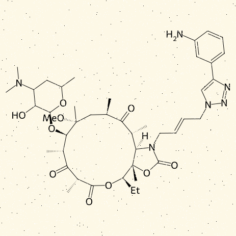 CC[C@H]1OC(=O)[C@H](C)C(=O)[C@H](C)[C@@H](O[C@@H]2OC(C)CC(N(C)C)C2O)[C@](C)(OC)C[C@@H](C)C(=O)[C@H](C)[C@H]2N(C/C=C/Cn3cc(-c4cccc(N)c4)nn3)C(=O)O[C@]12C